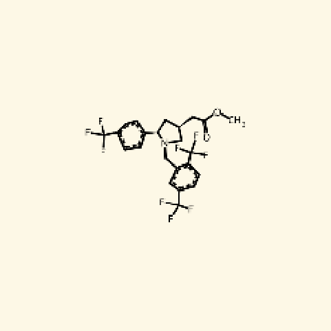 COC(=O)C[C@@H]1C[C@H](c2ccc(C(F)(F)F)cc2)N(Cc2cc(C(F)(F)F)ccc2C(F)(F)F)C1